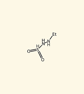 CCNN[SH](=O)=O